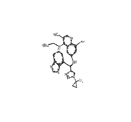 CC(=O)c1cc(NC(c2cn(C3(C(F)(F)F)CC3)nn2)c2cccc3ncsc23)cc2c(NCC(C)(C)C)c(C#N)cnc12